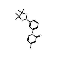 Cc1ccn(-c2cccc(B3OC(C)(C)C(C)(C)O3)c2)c(=O)c1